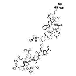 CC(=O)c1ccc(C[C@H](NC(=O)[C@@H](CCC(=O)O)NC(=O)[C@@H](CCC(=O)O)NC(=O)[C@@H](CCC(=O)O)NC(=O)[C@@H](CCC(=O)O)NC(=O)[C@H](N)CCC(=O)O)C(=O)NCCOCC(=O)C[C@@H](CCCNC(=N)N)C(=O)N2CCC[C@H]2C(=O)N[C@@H](CC(C)C)C(=O)N[C@@H](C)C(=O)N[C@@H](CC(C)C)C(=O)N[C@@H](Cc2c[nH]c3ccccc23)C(=O)N[C@@H](CCCNC(=N)N)C(C)=O)cc1